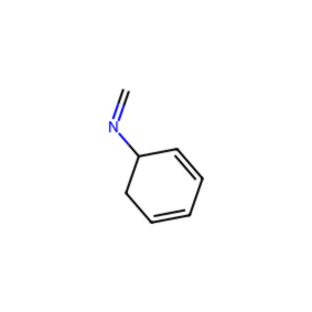 C=NC1C=CC=CC1